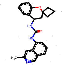 Cc1cc2c(NC(=O)NC3CC4(CCC4)Oc4ccccc43)cccc2cn1